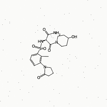 Cc1c(N2CCCC2=O)cccc1S(=O)(=O)N[C@@H](C(N)=O)C(=O)N1CCC(O)CC1